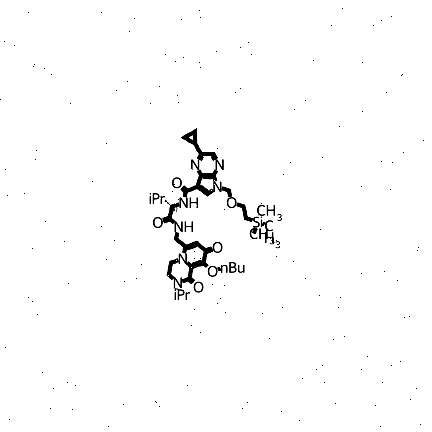 CCCCOc1c2n(c(CNC(=O)[C@@H](NC(=O)c3cn(COCC[Si](C)(C)C)c4ncc(C5CC5)nc34)C(C)C)cc1=O)CCN(C(C)C)C2=O